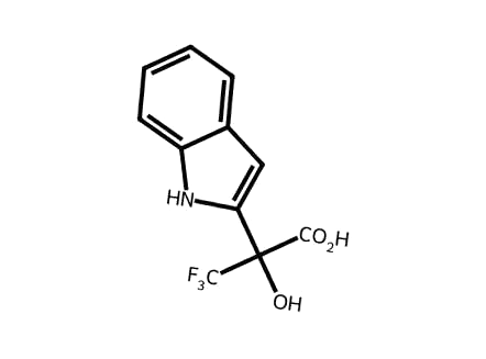 O=C(O)C(O)(c1cc2ccccc2[nH]1)C(F)(F)F